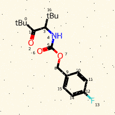 CC(C)(C)C(=O)C(NC(=O)OCc1ccc(F)cc1)C(C)(C)C